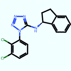 Clc1cccc(-n2nnnc2N[C@H]2CCc3ccccc32)c1Cl